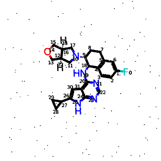 Fc1ccc2c(c1)CC[C@@H](N1C[C@H]3COC[C@H]3C1)[C@@H]2Nc1ncnc2[nH]c(C3CC3)cc12